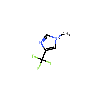 C[N+]1C=NC(C(F)(F)F)=C1